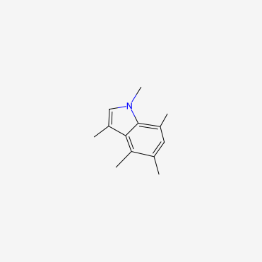 Cc1cc(C)c2c(c(C)cn2C)c1C